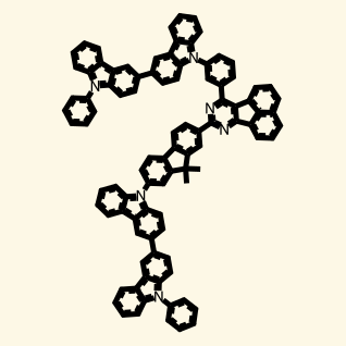 CC1(C)c2cc(-c3nc(-c4cccc(-n5c6ccccc6c6cc(-c7ccc8c(c7)c7ccccc7n8-c7ccccc7)ccc65)c4)c4c(n3)-c3cccc5cccc-4c35)ccc2-c2ccc(-n3c4ccccc4c4cc(-c5ccc6c(c5)c5ccccc5n6-c5ccccc5)ccc43)cc21